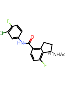 CC(=O)N[C@H]1CCc2c(C(=O)Nc3ccc(F)c(Cl)c3)ccc(F)c21